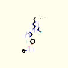 COCc1cc2c(Nc3cc([C@H]4CC[C@@H](OC(=O)NC56CC(C5)C6)[C@H]4F)[nH]n3)nc(C(F)F)cn2n1